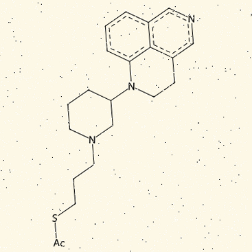 CC(=O)SCCCN1CCCC(N2CCc3cncc4cccc2c34)C1